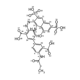 CCC(=O)Nc1ccc(-c2ccc(/N=N\c3c(S(=O)(=O)O)cc4cc(S(=O)(=O)O)cc(O)c4c3N)c(C(=O)O)c2)cc1C(=O)O